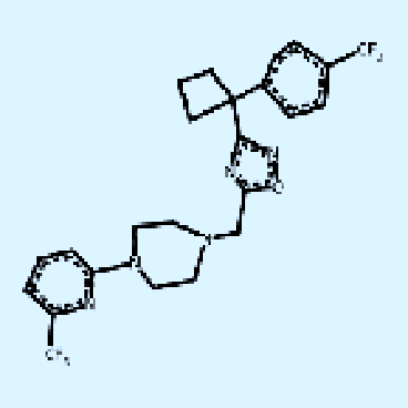 FC(F)(F)c1ccc(C2(c3noc(CN4CCN(c5cccc(C(F)(F)F)n5)CC4)n3)CCC2)cc1